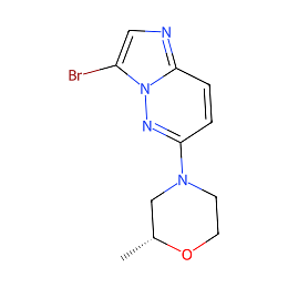 C[C@@H]1CN(c2ccc3ncc(Br)n3n2)CCO1